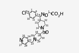 O=C(O)CON=C(c1ccc(Cl)cc1)C1CCN(C(=O)C2CCN(Cc3ccncc3)CC2)CC1